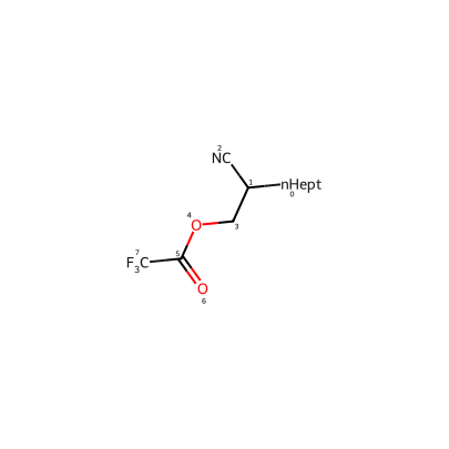 CCCCCCCC(C#N)COC(=O)C(F)(F)F